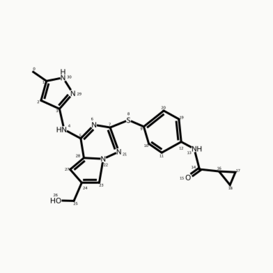 Cc1cc(Nc2nc(Sc3ccc(NC(=O)C4CC4)cc3)nn3cc(CO)cc23)n[nH]1